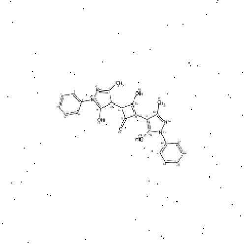 CC1=N[N+](c2ccccc2)=C(O)C1C1C(=O)C(c2c(C)nn(-c3ccccc3)c2O)=C1O